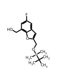 CC(C)(C)[Si](C)(C)OCc1cc2cc(F)cc(CO)c2o1